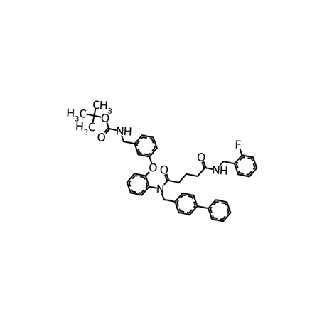 CC(C)(C)OC(=O)NCc1cccc(Oc2ccccc2N(Cc2ccc(-c3ccccc3)cc2)C(=O)CCCC(=O)NCc2ccccc2F)c1